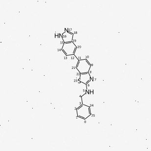 c1ccc(CNc2nc3ccc(-c4ccc5[nH]ncc5c4)cc3s2)cc1